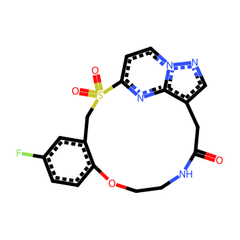 O=C1Cc2cnn3ccc(nc23)S(=O)(=O)Cc2cc(F)ccc2OCCN1